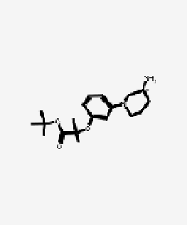 CC(C)(C)OC(=O)C(C)(C)Oc1cccc(N2CCC[C@H](N)C2)c1